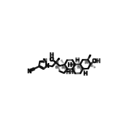 C[C@@H]1C[C@H]2[C@H](CC[C@@H]3[C@@H]2CC[C@@]2(C)[C@H]3CC[C@@H]2[C@@](C)(O)Cn2cc(C#N)cn2)C[C@]1(C)O